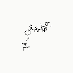 Cc1c(-c2ccc(C(=O)N3CCCC(CCC[C@@H](F)C(F)F)C3)s2)noc1C(F)(F)F